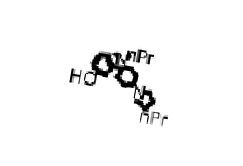 CCCC1CCN(C2CCC(c3cccc(O)c3)(N(C)CCC)CC2)C1